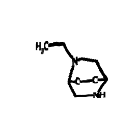 CCN1CC2CCC1CN2